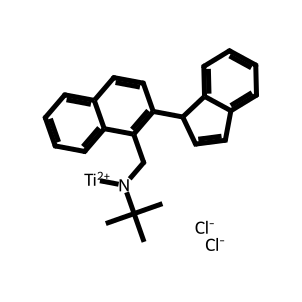 CC(C)(C)[N]([Ti+2])Cc1c(C2C=Cc3ccccc32)ccc2ccccc12.[Cl-].[Cl-]